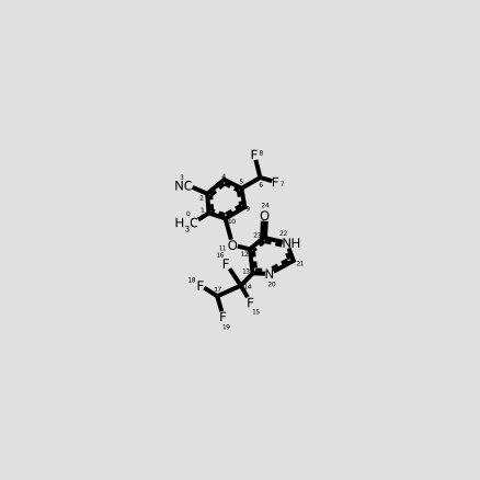 Cc1c(C#N)cc(C(F)F)cc1Oc1c(C(F)(F)C(F)F)nc[nH]c1=O